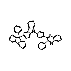 c1ccc(-c2nc3ccccc3nc2-c2ccc(-n3c4ccccc4c4cc(C5(c6ccccc6)c6ccccc6-c6ccccc65)ccc43)cc2)cc1